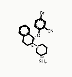 N#Cc1cc(Br)ccc1O[C@H]1c2ccccc2CC[C@@H]1N1CCC[C@H](N)C1